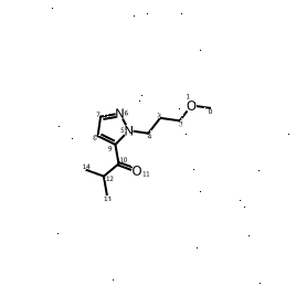 COCCCn1nccc1C(=O)C(C)C